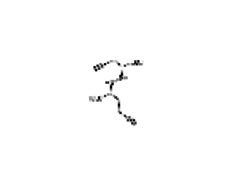 C#CCCC(NNC(CC#C)C(=O)O)C(=O)O